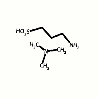 CN(C)C.NCCCS(=O)(=O)O